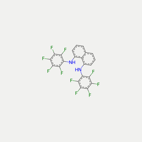 Fc1c(F)c(F)c(Nc2cccc3cccc(Nc4c(F)c(F)c(F)c(F)c4F)c23)c(F)c1F